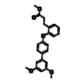 COC(=O)CCc1ccccc1Oc1ccc(-c2cc(OC)cc(OC)c2)cc1